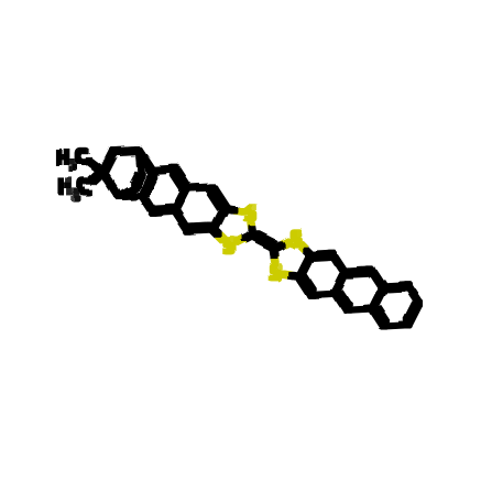 CC1(C)CC2C=CC1c1cc3cc4c(cc3cc12)SC(=C1Sc2cc3cc5ccccc5cc3cc2S1)S4